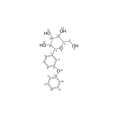 OCC1OC(c2cccc(Oc3ccccc3)c2)C(O)C(O)C1O